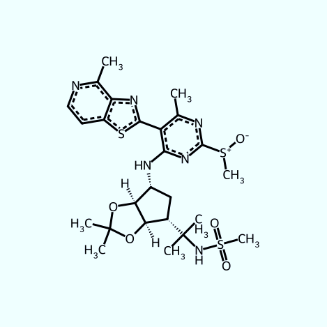 Cc1nc([S+](C)[O-])nc(N[C@@H]2C[C@H](C(C)(C)NS(C)(=O)=O)[C@H]3OC(C)(C)O[C@H]32)c1-c1nc2c(C)nccc2s1